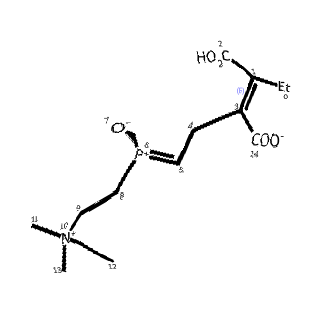 CC/C(C(=O)O)=C(/CC=[P+]([O-])CC[N+](C)(C)C)C(=O)[O-]